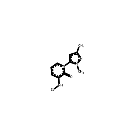 CCNc1cccn(-c2cc(C)nn2C)c1=O